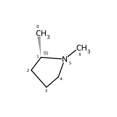 C[C@H]1CCCN1C